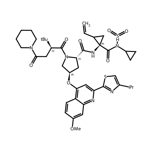 C=CC1C[C@]1(NC(=O)[C@@H]1C[C@@H](Oc2cc(-c3nc(C(C)C)cs3)nc3cc(OC)ccc23)CN1C(=O)[C@@H](CC(=O)N1CCCCC1)C(C)(C)C)C(=O)N(C1CC1)[SH](=O)=O